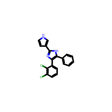 Clc1cccc(-c2nc(-c3cc[nH]c3)[nH]c2-c2ccccc2)c1Cl